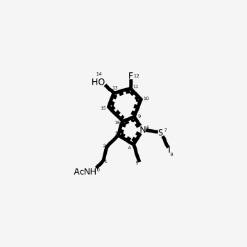 CC(=O)NCCc1c(C)n(SI)c2cc(F)c(O)cc12